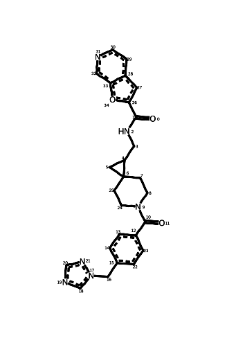 O=C(NCC1CC12CCN(C(=O)c1ccc(Cn3cncn3)cc1)CC2)c1cc2ccncc2o1